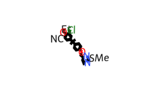 CCOc1c(Cl)cc(C(C)(C)c2ccc(OCc3ccnc(SC)n3)cc2)cc1C#N